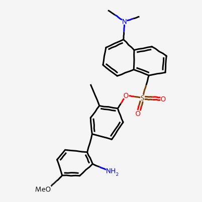 COc1ccc(-c2ccc(OS(=O)(=O)c3cccc4c(N(C)C)cccc34)c(C)c2)c(N)c1